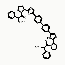 CC(=O)NC(C(=O)N1CCCC1c1ncc(-c2ccc(-c3ccc(-c4cnc(C5CCCN5C(=O)C(NC(C)=O)c5ccccc5)[nH]4)cc3)cc2)[nH]1)c1ccccc1